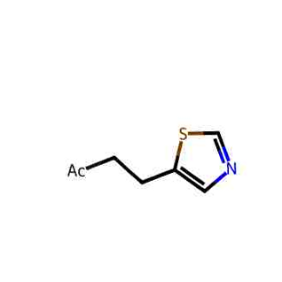 CC(=O)CCc1cncs1